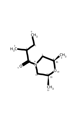 CCC(C)C(=O)N1C[C@@H](C)O[C@@H](C)C1